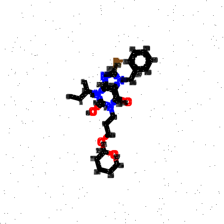 CCC(C)n1c(=O)n(CCCOC2CCCCO2)c(=O)c2c1nc(Br)n2Cc1ccccc1